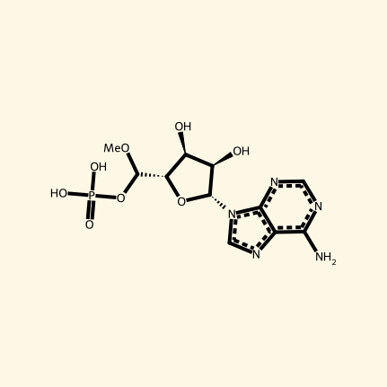 COC(OP(=O)(O)O)[C@H]1O[C@@H](n2cnc3c(N)ncnc32)[C@H](O)[C@@H]1O